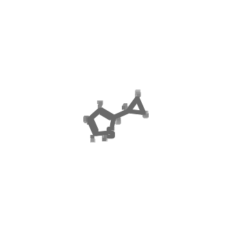 [c]1csc(C2CC2)c1